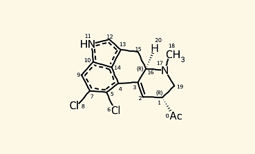 CC(=O)[C@@H]1C=C2c3c(Cl)c(Cl)cc4[nH]cc(c34)C[C@H]2N(C)C1